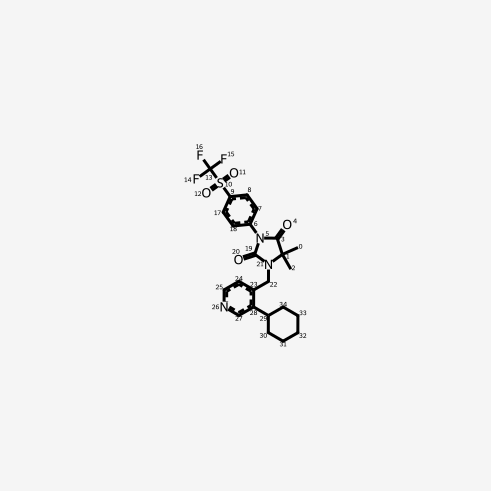 CC1(C)C(=O)N(c2ccc(S(=O)(=O)C(F)(F)F)cc2)C(=O)N1Cc1ccncc1C1CCCCC1